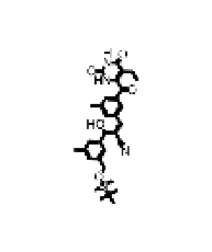 CCc1c(C(=O)c2cc(C)cc(C=C(C#N)C(O)c3cc(C)cc(CO[Si](C)(C)C(C)(C)C)c3)c2)[nH]c(=O)[nH]c1=O